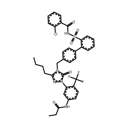 CCCCc1nn(-c2cc(NC(=O)CC)ccc2C(F)(F)F)c(=O)n1Cc1ccc(-c2ccccc2S(=O)(=O)NC(=O)c2ccccc2Cl)cc1